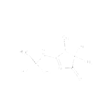 CC1C(NC(C)(C)C)=NC(=O)C1(C)C